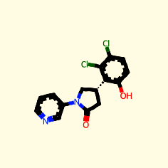 O=C1C[C@@H](c2c(O)ccc(Cl)c2Cl)CN1c1cccnc1